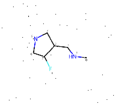 CNCC1C[N]CC1F